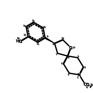 O=C(O)N1CCC2(CC1)C[C@@H](c1cccc(O)c1)CO2